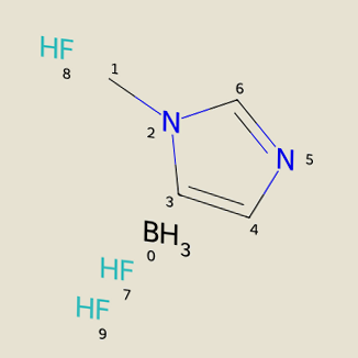 B.Cn1ccnc1.F.F.F